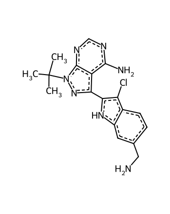 CC(C)(C)n1nc(-c2[nH]c3cc(CN)ccc3c2Cl)c2c(N)ncnc21